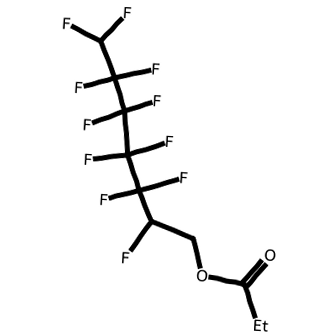 CCC(=O)OCC(F)C(F)(F)C(F)(F)C(F)(F)C(F)(F)C(F)F